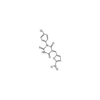 O=C1NC(=S)N(c2ccc(Cl)cc2)C(=O)/C1=C/c1ccc([N+](=O)[O-])o1